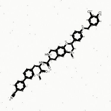 COC(=O)C(Cc1ccc(-c2ccc(C#N)cc2)cc1)NC(=O)C1Cc2cc3c(cc2CN1)OC(c1ccc(OCc2ccc(Cl)c(Cl)c2)cc1)CN3C